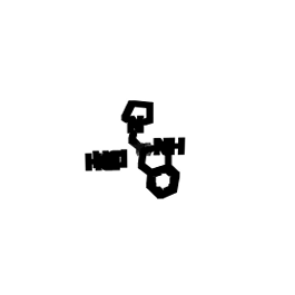 Cl.Cl.c1ccc2c(c1)CN[C@H](CN1CCCC1)C2